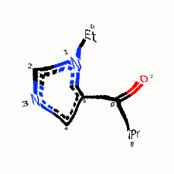 CCn1cncc1C(=O)C(C)C